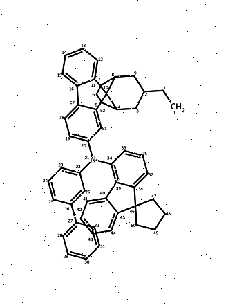 CCC1CC2CCCC(C1)C21c2ccccc2-c2ccc(N(c3cccc(-c4ccccc4)c3)c3cccc4c3-c3ccccc3C43CCCC3)cc21